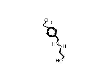 COc1ccc(CNNCCO)cc1